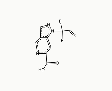 C=CC(F)(F)n1ncc2cnc(C(=O)O)cc21